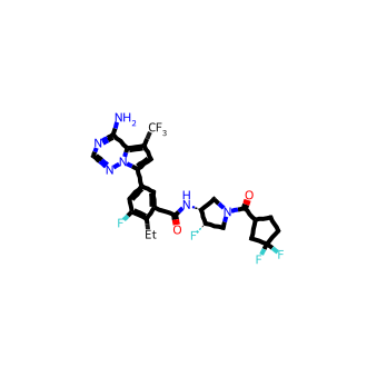 CCc1c(F)cc(-c2cc(C(F)(F)F)c3c(N)ncnn23)cc1C(=O)N[C@@H]1CN(C(=O)C2CCC(F)(F)C2)C[C@@H]1F